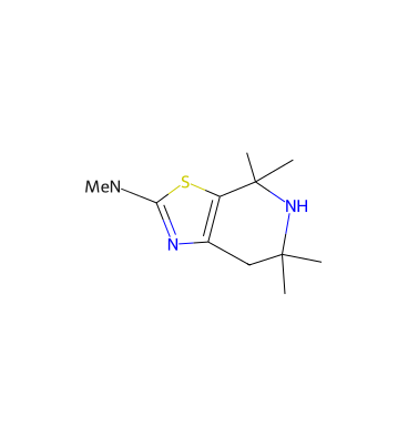 CNc1nc2c(s1)C(C)(C)NC(C)(C)C2